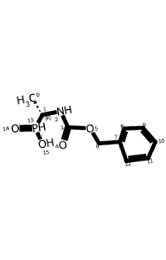 C[C@H](NC(=O)OCc1ccccc1)[PH](=O)O